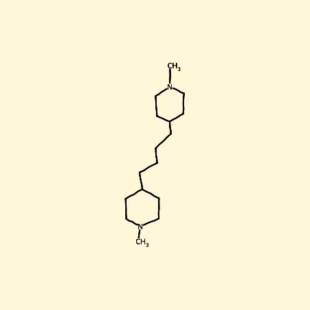 CN1CCC(CCCCC2CCN(C)CC2)CC1